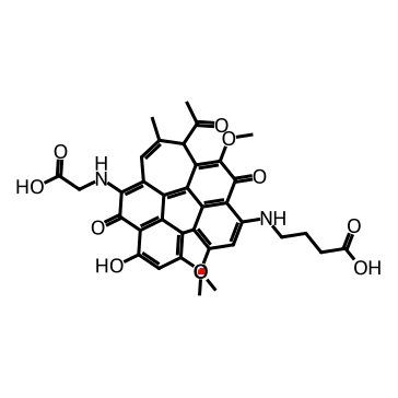 COc1c2c3c4c(c(NCC(=O)O)c(=O)c5c(O)cc(OC)c(c6c(OC)cc(NCCCC(=O)O)c(c1=O)c63)c54)C=C(C)C2C(C)=O